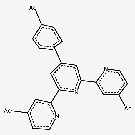 CC(=O)c1ccc(-c2cc(-c3cc(C(C)=O)ccn3)nc(-c3cc(C(C)=O)ccn3)c2)cc1